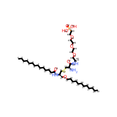 CCCCCCCCCCCCCC(=O)N[C@H](COCCCCCCCCCCCC)CSC[C@H](N)C(=O)N[C@@H](C)COCCOCCOCCP(=O)(O)O